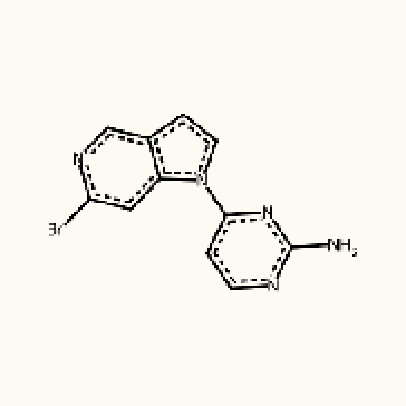 Nc1nccc(-n2ccc3cnc(Br)cc32)n1